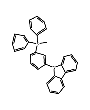 C[Si](c1ccccc1)(c1ccccc1)c1cccc(-n2c3ccccc3c3ccccc32)c1